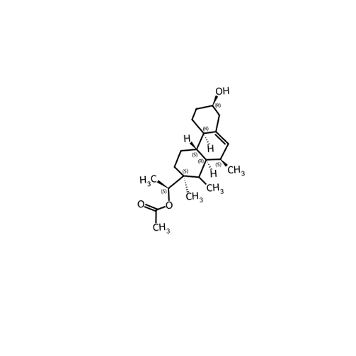 CC(=O)O[C@@H](C)[C@@]1(C)CC[C@H]2[C@H](C1C)[C@H](C)C=C1C[C@H](O)CC[C@@H]12